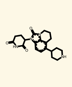 O=C1CCC(n2c(=O)n3c4c(c(C5CCNCC5)ccc42)CCC3)C(=O)N1